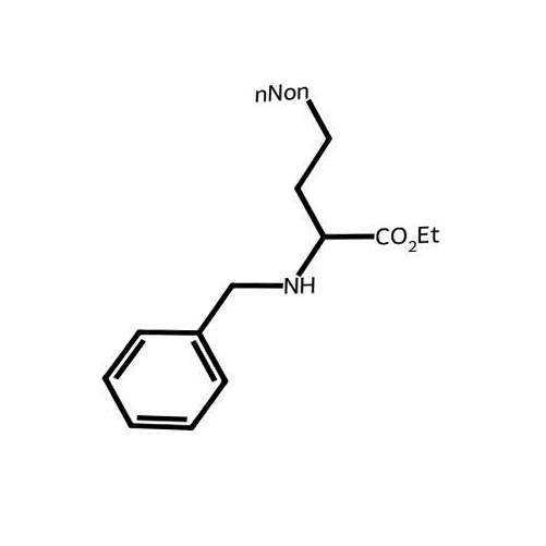 CCCCCCCCCCCC(NCc1ccccc1)C(=O)OCC